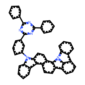 c1ccc(-c2nc(-c3ccccc3)nc(-c3cccc(-n4c5ccccc5c5c6ccc7c8cccc9c%10ccccc%10n(c7c6ccc54)c98)c3)n2)cc1